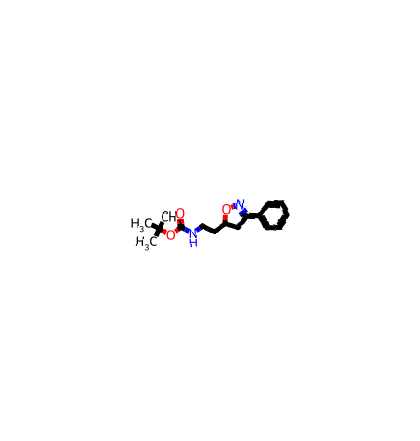 CC(C)(C)OC(=O)NCCC1CC(c2ccccc2)=NO1